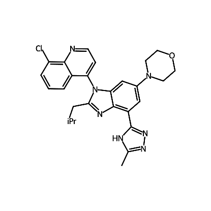 Cc1nnc(-c2cc(N3CCOCC3)cc3c2nc(CC(C)C)n3-c2ccnc3c(Cl)cccc23)[nH]1